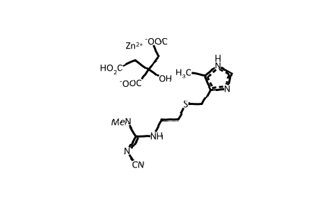 CN/C(=N/C#N)NCCSCc1nc[nH]c1C.O=C([O-])CC(O)(CC(=O)O)C(=O)[O-].[Zn+2]